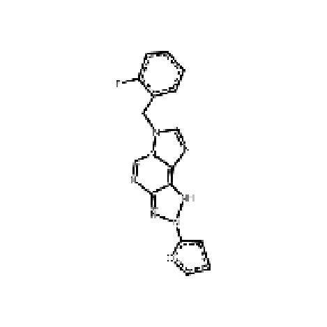 Fc1ccccc1CN1C=NC2=C3NN(c4ccco4)N=C3N=CN21